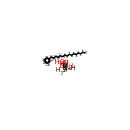 CCCCCCCCCCCCCCCCc1ccccc1.O=S(=O)(O)O.S.[NaH]